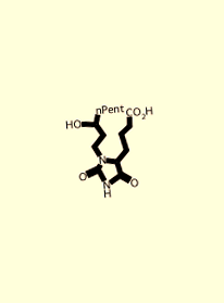 CCCCCC(O)CCN1C(=O)NC(=O)C1CCCC(=O)O